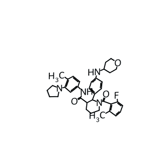 Cc1ccc(NC(=O)C2CCCN(C(=O)c3c(C)cccc3F)C2c2ccc(NC3CCOCC3)cc2)cc1N1CCCC1